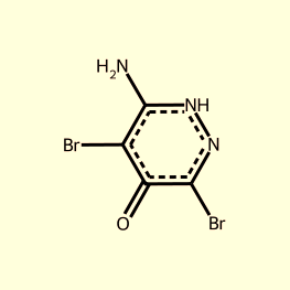 Nc1[nH]nc(Br)c(=O)c1Br